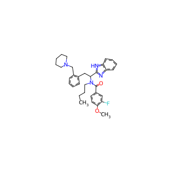 CCCCN(C(=O)c1ccc(OC)c(F)c1)C(Cc1ccccc1CN1CCCCC1)c1nc2ccccc2[nH]1